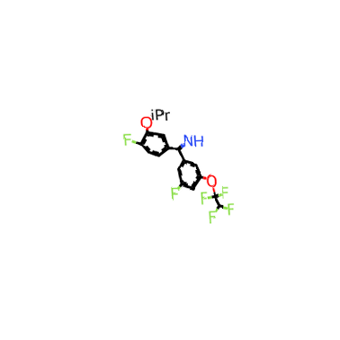 CC(C)Oc1cc(C(=N)c2cc(F)cc(OC(F)(F)C(F)F)c2)ccc1F